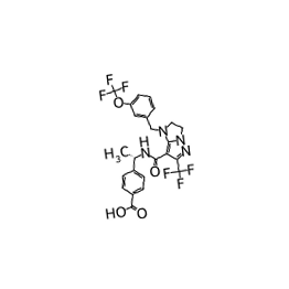 C[C@H](NC(=O)c1c(C(F)(F)F)nn2c1N(Cc1cccc(OC(F)(F)F)c1)CC2)c1ccc(C(=O)O)cc1